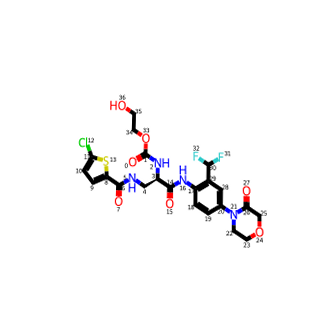 O=C(N[C@H](CNC(=O)c1ccc(Cl)s1)C(=O)Nc1ccc(N2CCOCC2=O)cc1C(F)F)OCCO